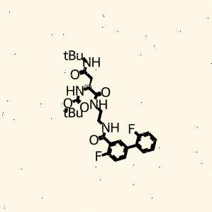 CC(C)(C)NC(=O)C[C@H](NC(=O)OC(C)(C)C)C(=O)NCCNC(=O)c1cc(-c2ccccc2F)ccc1F